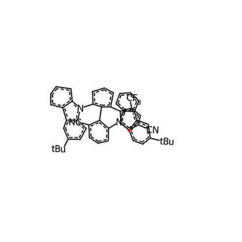 CC(C)(C)c1ccc2c(c1)c1ccccc1n2-c1cccc(C#N)c1-c1c(-c2ccc(C#N)cc2C(F)(F)F)cccc1-n1c2ccccc2c2cc(C(C)(C)C)ccc21